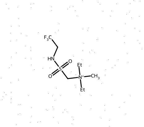 CC[N+](C)(CC)CS(=O)(=O)NCC(F)(F)F